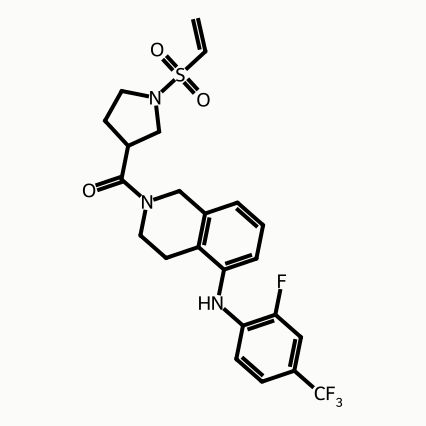 C=CS(=O)(=O)N1CCC(C(=O)N2CCc3c(cccc3Nc3ccc(C(F)(F)F)cc3F)C2)C1